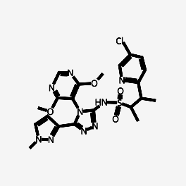 COc1ncnc(OC)c1-n1c(NS(=O)(=O)C(C)C(C)c2ccc(Cl)cn2)nnc1-c1ccn(C)n1